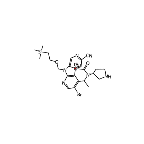 CC(c1c(Br)cnc2c1c1cc(C#N)ncc1n2COCC[Si](C)(C)C)N(C(=O)OC(C)(C)C)[C@H]1CCNC1